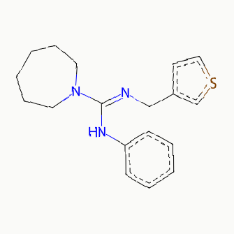 c1ccc(NC(=NCc2ccsc2)N2CCCCCC2)cc1